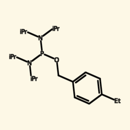 CCc1ccc(COP(N(C(C)C)C(C)C)N(C(C)C)C(C)C)cc1